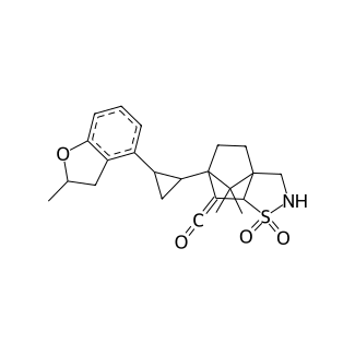 CC1Cc2c(cccc2C2CC2C23CCC4(CNS(=O)(=O)C4C2=C=O)C3(C)C)O1